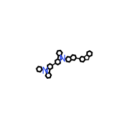 c1ccc(-n2c3ccccc3c3cc(-c4ccc5c(c4)c4ccccc4n5-c4ccc5cc(-c6ccc7c(c6)-c6ccccc6C7)ccc5c4)ccc32)cc1